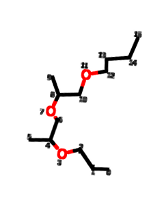 C[CH][CH]OC(C)COC(C)COCCCC